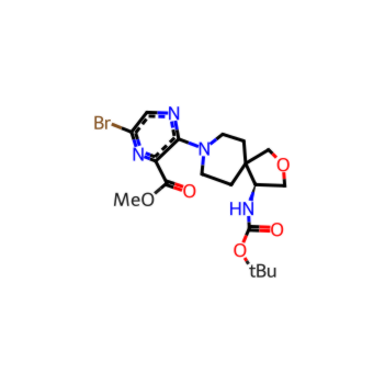 COC(=O)c1nc(Br)cnc1N1CCC2(CC1)COC[C@H]2NC(=O)OC(C)(C)C